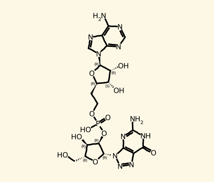 Nc1nc2c(nnn2[C@@H]2O[C@H](CO)[C@@H](O)[C@H]2OP(=O)(O)OCC[C@H]2O[C@@H](n3cnc4c(N)ncnc43)[C@H](O)[C@@H]2O)c(=O)[nH]1